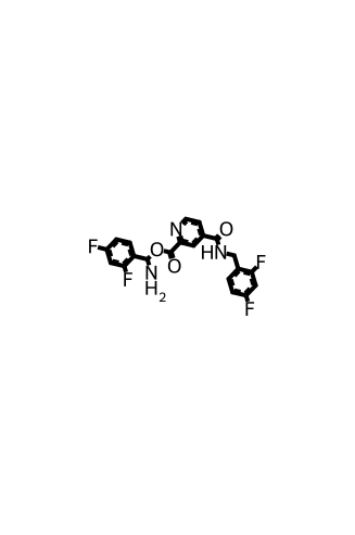 NC(OC(=O)c1cc(C(=O)NCc2ccc(F)cc2F)ccn1)c1ccc(F)cc1F